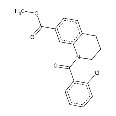 COC(=O)c1ccc2c(c1)N(C(=O)c1ccccc1Cl)CCC2